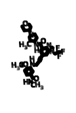 CNC(=O)c1ccc(OC)c(NCC#Cc2cc(C(=O)N[C@H]3CCN(C4CCOCC4)C[C@@H]3C)c3ncn(CC(F)(F)F)c3c2)c1